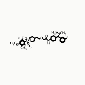 COc1cc(C)c(S(=O)(=O)N2CCC(CCOCC(=O)NC3CCC(C(c4cccc(F)c4)N(C)C)CC3)CC2)c(C)c1C